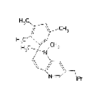 Cc1cc(C)c(C)c(C2(C)C=Cc3ncc(CC(C)C)cc3N2C)c1